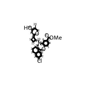 COC(=O)c1ccc2c(c1)N(C[C@@H]1CC[C@H]1[C@H]1C[C@H](O)[C@@H](C)CO1)C[C@@]1(CCCc3cc(Cl)ccc31)CO2